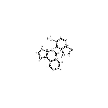 Oc1ccc2ncoc2c1.c1ccc2c(c1)ccc1ncoc12